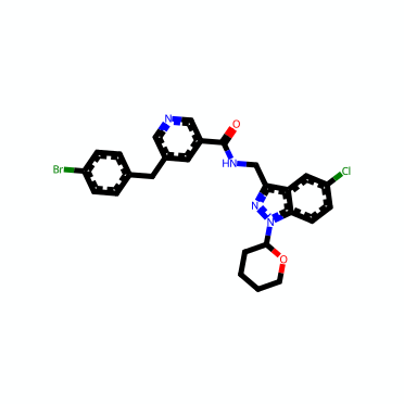 O=C(NCc1nn(C2CCCCO2)c2ccc(Cl)cc12)c1cncc(Cc2ccc(Br)cc2)c1